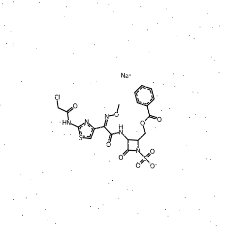 CON=C(C(=O)NC1C(=O)N(S(=O)(=O)[O-])C1COC(=O)c1ccccc1)c1csc(NC(=O)CCl)n1.[Na+]